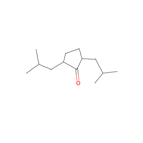 CC(C)CC1CCC(CC(C)C)C1=O